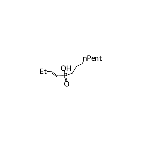 CCC=CP(=O)(O)CCCCCCCC